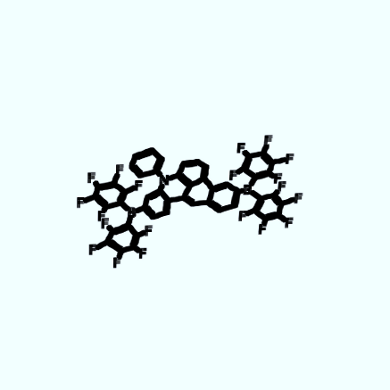 Fc1c(F)c(F)c(B(c2ccc3c(c2)N(c2ccccc2)c2cccc4c2c-3cc2ccc(B(c3c(F)c(F)c(F)c(F)c3F)c3c(F)c(F)c(F)c(F)c3F)cc24)c2c(F)c(F)c(F)c(F)c2F)c(F)c1F